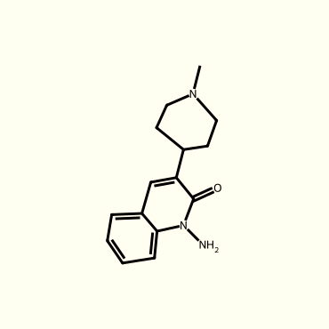 CN1CCC(c2cc3ccccc3n(N)c2=O)CC1